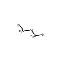 CC[SiH2][SiH2][SiH2]CC